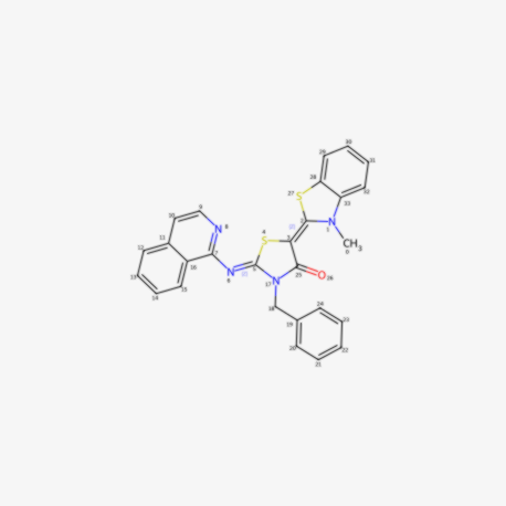 CN1/C(=C2/S/C(=N\c3nccc4ccccc34)N(Cc3ccccc3)C2=O)Sc2ccccc21